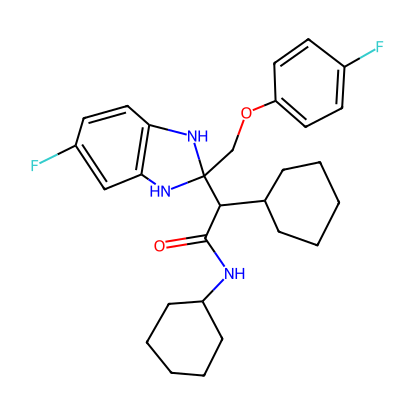 O=C(NC1CCCCC1)C(C1CCCCC1)C1(COc2ccc(F)cc2)Nc2ccc(F)cc2N1